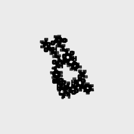 C/C(=C\[C@H](C(C)C)N(C)C(=O)[C@@H](NC(=O)[C@@H](N(C)C(=O)OC(C)(C)C)C(C)(C)c1ccccc1)C(C)(C)C)C(=O)NS(=O)(=O)c1ccc(CNC(=O)[C@H](CCCCNC(=O)OC(C)(C)C)NC(=O)[C@H](Cc2ccccc2)NC(=O)CCCCCN2C(=O)C=CC2=O)cc1